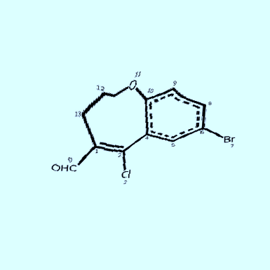 O=CC1=C(Cl)c2cc(Br)ccc2OCC1